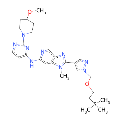 COC1CCN(c2nccc(Nc3cc4c(cn3)nc(-c3cnn(COCC[Si](C)(C)C)c3)n4C)n2)CC1